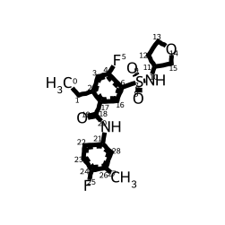 CCc1cc(F)c(S(=O)(=O)NC2CCOC2)cc1C(=O)Nc1ccc(F)c(C)c1